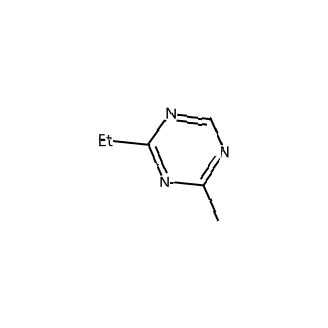 CCc1ncnc(C)n1